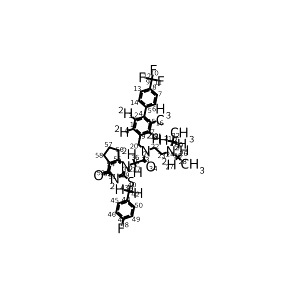 [2H]c1c([2H])c(-c2ccc(C(F)(F)F)cc2)c(C)c([2H])c1CN(CCN(C([2H])([2H])C)C([2H])([2H])C)C(=O)C([2H])([2H])n1c(SC([2H])([2H])c2ccc(F)cc2)nc(=O)c2c1CCC2